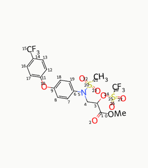 COC(=O)C(CN(c1ccc(Oc2ccc(C(F)(F)F)cc2)cc1)S(C)(=O)=O)OS(=O)(=O)C(F)(F)F